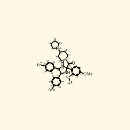 CCOc1cc(OC)ccc1C1(C(=O)N2CCC(N3CCCC3)CC2)NC(c2ccc(Br)cc2)C(c2ccc(Br)cc2)N1